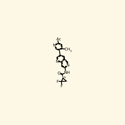 CC(=O)c1cc(C)c(-c2cnc3cc(NC(=O)[C@H]4CC4(F)F)ncc3c2)cn1